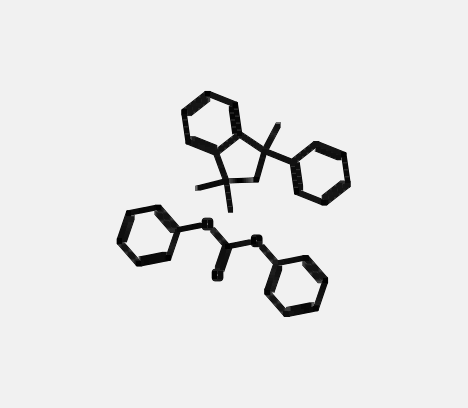 CC1(C)CC(C)(c2ccccc2)c2ccccc21.O=C(Oc1ccccc1)Oc1ccccc1